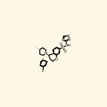 C[C@@H]1CCN([C@@H]2CCOc3cc(S(=O)(=O)Nc4ncns4)ccc32)[C@H](c2ccc(F)cc2)C1